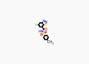 Cc1ccc(S(=O)(=O)NC(=O)c2cc(F)cc3nnsc23)cc1